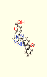 Nc1nccn2c(C3CCC(CO)OC3)nc(-c3ccc(C(=O)c4ccccc4)cc3)c12